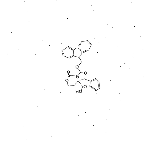 O=C(OCC1c2ccccc2-c2ccccc21)N1[S@@](=O)OCC[C@]1(Cc1ccccc1)C(=O)O